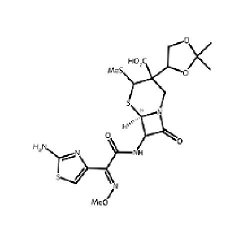 CON=C(C(=O)NC1C(=O)N2CC(C(=O)O)(C3COC(C)(C)O3)C(SC)S[C@H]12)c1csc(N)n1